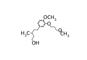 COCCCOc1cc(CCC(C)CCO)ccc1OC